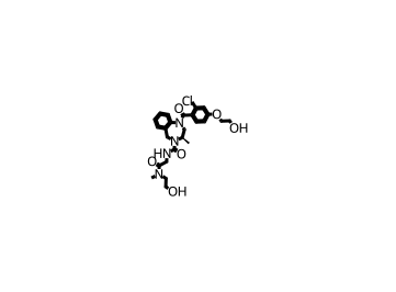 C[C@@H]1CN(C(=O)c2ccc(OCCO)cc2Cl)c2ccccc2CN1C(=O)NCC(=O)N(C)CCO